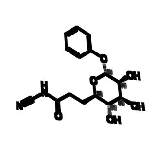 N#CNC(=O)CC[C@H]1O[C@H](Oc2ccccc2)[C@@H](O)[C@@H](O)[C@@H]1O